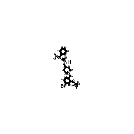 CN(C)c1nc(NCC2CCN(Cc3ccc(Br)cc3OC(F)(F)F)CC2)nc2ccccc12